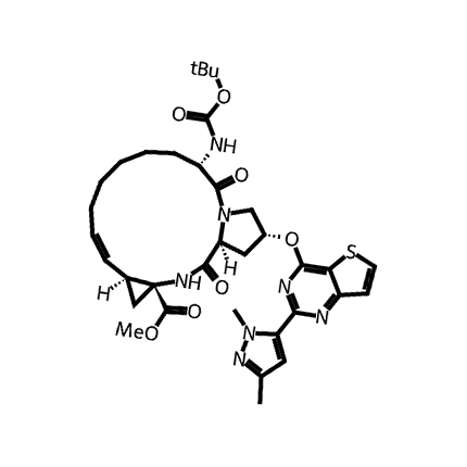 COC(=O)[C@@]12C[C@H]1/C=C\CCCCC[C@H](NC(=O)OC(C)(C)C)C(=O)N1C[C@H](Oc3nc(-c4cc(C)nn4C)nc4ccsc34)C[C@H]1C(=O)N2